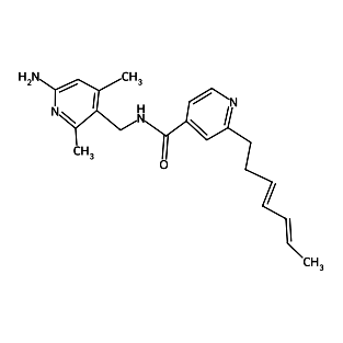 C/C=C/C=C/CCc1cc(C(=O)NCc2c(C)cc(N)nc2C)ccn1